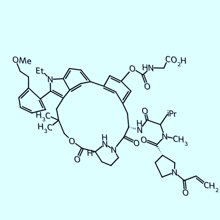 C=CC(=O)N1CC[C@H](C(=O)N(C)C(C(=O)N[C@H]2Cc3cc(OC(=O)NCC(=O)O)cc(c3)-c3ccc4c(c3)c(c(-c3ccccc3CCOC)n4CC)CC(C)(C)COC(=O)[C@@H]3CCCN(N3)C2=O)C(C)C)C1